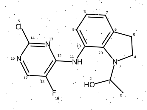 CC(O)N1CCc2cccc(Nc3nc(Cl)ncc3F)c21